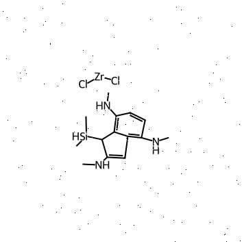 CNC1=Cc2c(NC)ccc(NC)c2C1[SiH](C)C.[Cl][Zr][Cl]